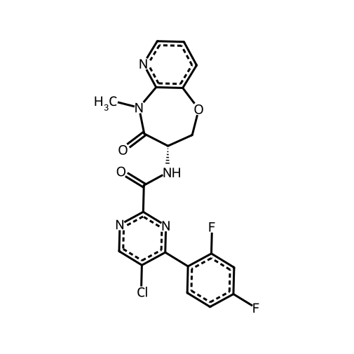 CN1C(=O)[C@@H](NC(=O)c2ncc(Cl)c(-c3ccc(F)cc3F)n2)COc2cccnc21